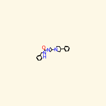 O=C(NCc1ccccc1)N1CC(N2CCC(c3ccccc3)CC2)C1